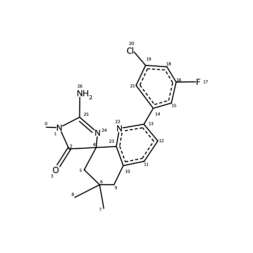 CN1C(=O)C2(CC(C)(C)Cc3ccc(-c4cc(F)cc(Cl)c4)nc32)N=C1N